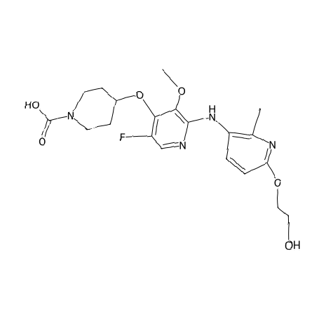 COc1c(Nc2ccc(OCCO)nc2C)ncc(F)c1OC1CCN(C(=O)O)CC1